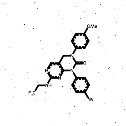 COc1ccc(N2Cc3cnc(NCC(F)(F)F)nc3N(c3ccc(C(C)C)cc3)C2=O)cc1